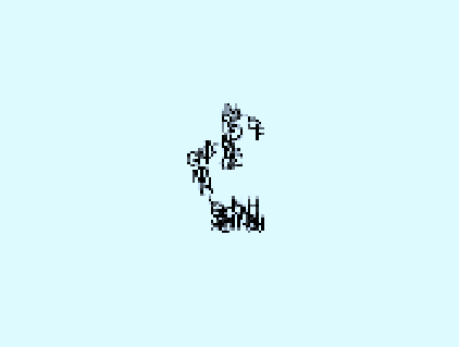 Cc1n[nH]c(Nc2ncnc3cc(OCCC4CCN(c5ccc(C(=O)N6CCN(C[C@H]7CN(C(=O)OC(C)(C)C)[C@H](C)CN7CC(=O)N7CC(C)(C)c8ncc(Cc9ccc(F)cc9)cc87)C(C)C6)cn5)CC4)c(S(=O)(=O)C(C)(C)C)cc23)c1C